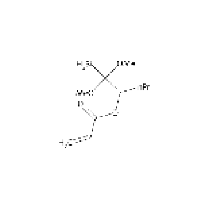 C=CC(=O)OC(CCC)C([SiH3])(OC)OC